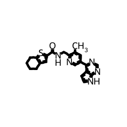 Cc1cc(-c2ncnc3[nH]ccc23)cnc1CNC(=O)c1cc2c(s1)CCCC2